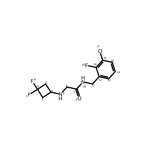 O=C(CNC1CC(F)(F)C1)NCc1cccc(Cl)c1F